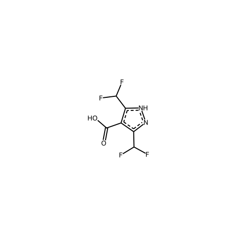 O=C(O)c1c(C(F)F)n[nH]c1C(F)F